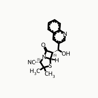 CC1(C)S[C@H]2[C@@H](C(O)c3cnc4ccccc4c3)C(=O)N2[C@H]1C#N